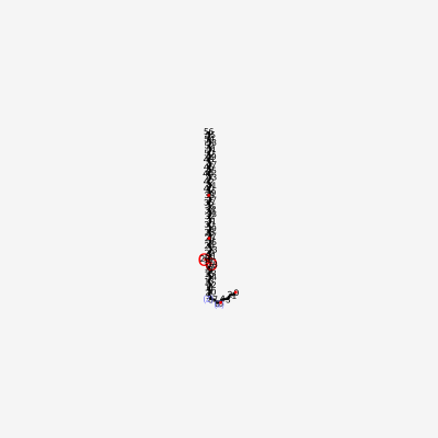 CCCCC/C=C\C/C=C\CCCCCCCCOC(=O)CCCCCCCCCCCCCCCCCCCCCCCCCCCCCCCCCCCC